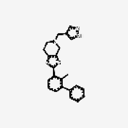 Cc1c(-c2ccccc2)cccc1-c1nc2c(s1)CN(Cc1cn[nH]c1)CC2